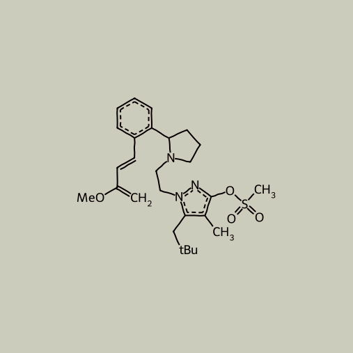 C=C(C=Cc1ccccc1C1CCCN1CCn1nc(OS(C)(=O)=O)c(C)c1CC(C)(C)C)OC